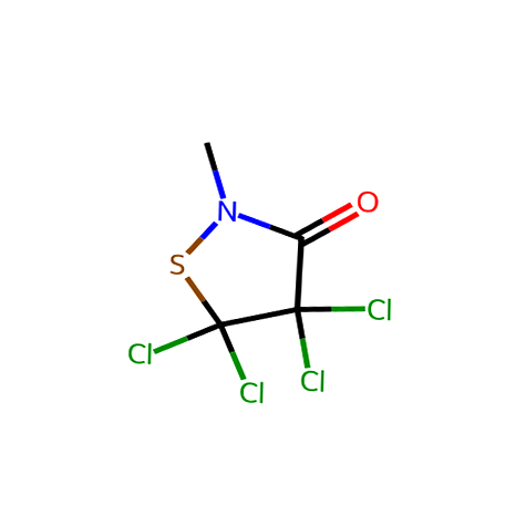 CN1SC(Cl)(Cl)C(Cl)(Cl)C1=O